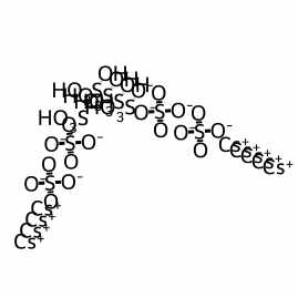 O=S(=O)(O)O.O=S(=O)(O)O.O=S(=O)(O)O.O=S(=O)(O)O.O=S(=O)([O-])O.O=S(=O)([O-])[O-].O=S(=O)([O-])[O-].O=S(=O)([O-])[O-].O=S(=O)([O-])[O-].[Cs+].[Cs+].[Cs+].[Cs+].[Cs+].[Cs+].[Cs+].[Cs+].[Cs+]